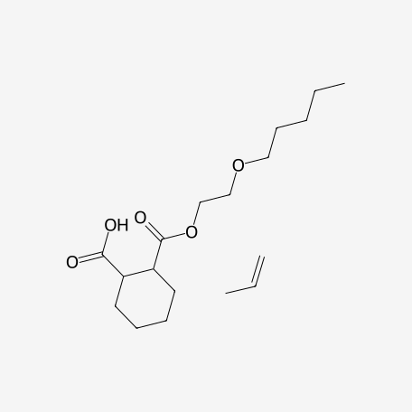 C=CC.CCCCCOCCOC(=O)C1CCCCC1C(=O)O